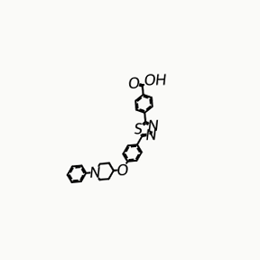 O=C(O)c1ccc(-c2nnc(-c3ccc(OC4CCN(c5ccccc5)CC4)cc3)s2)cc1